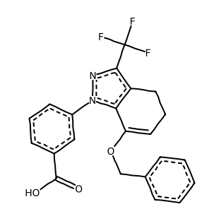 O=C(O)c1cccc(-n2nc(C(F)(F)F)c3c2C(OCc2ccccc2)=CCC3)c1